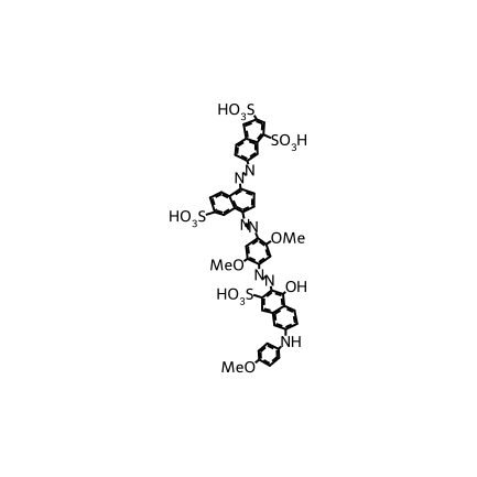 COc1ccc(Nc2ccc3c(O)c(N=Nc4cc(OC)c(N=Nc5ccc(N=Nc6ccc7cc(S(=O)(=O)O)cc(S(=O)(=O)O)c7c6)c6ccc(S(=O)(=O)O)cc56)cc4OC)c(S(=O)(=O)O)cc3c2)cc1